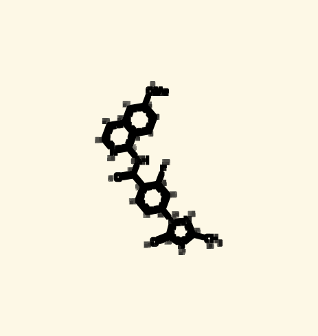 COc1ccc2c(NC(=O)c3ccc(-n4nc(C)sc4=O)cc3F)nccc2c1